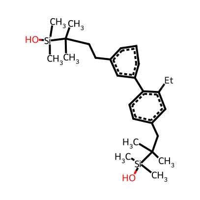 CCc1cc(CC(C)(C)[Si](C)(C)O)ccc1-c1cccc(CCC(C)(C)[Si](C)(C)O)c1